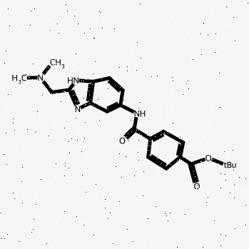 CN(C)Cc1nc2cc(NC(=O)c3ccc(C(=O)OC(C)(C)C)cc3)ccc2[nH]1